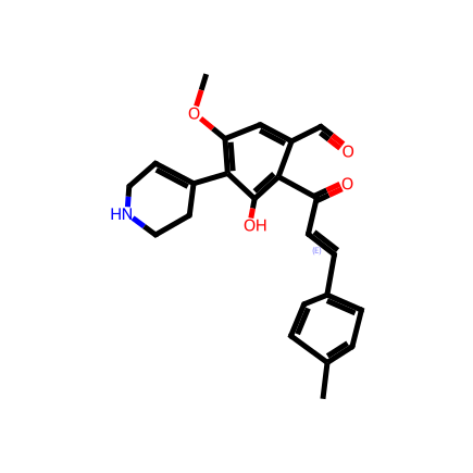 COc1cc(C=O)c(C(=O)/C=C/c2ccc(C)cc2)c(O)c1C1=CCNCC1